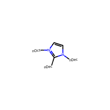 CCCCCCCCCCc1n(CCCCCCCCCC)cc[n+]1CCCCCCCC